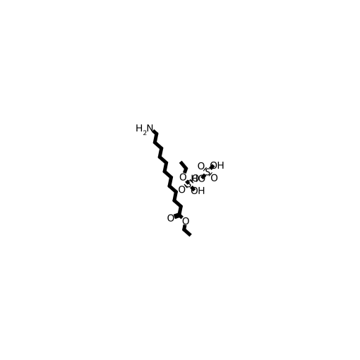 CCOC(=O)CCCCCCCCCCCN.CCOS(=O)(=O)O.O=S(=O)(O)O